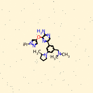 CC1CCCN1c1cc(CN(C)C)cc(-c2cnc(N)c(Oc3cnn(C(C)C)c3)n2)c1